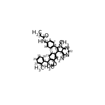 C=CC(=O)Nc1ccc(-c2c(-c3ccc(C(O)c4ccccc4C)c(OC)c3)c3c(N)ncnc3n2C)cc1